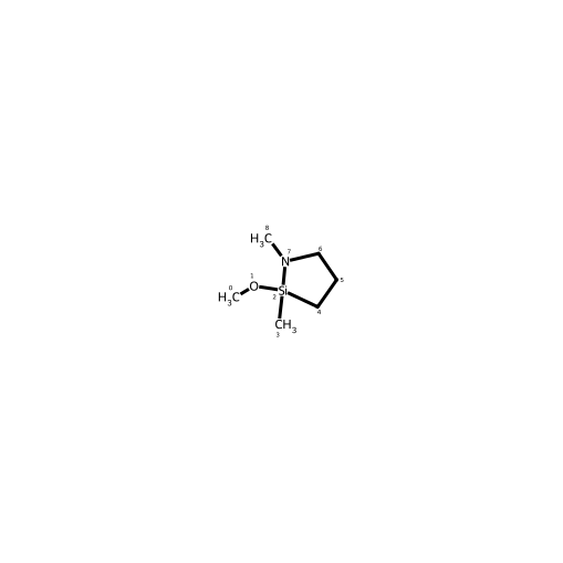 CO[Si]1(C)CCCN1C